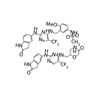 COc1ccc(NS(C)(=O)=O)cc1CNc1nc(Nc2ccc3c(c2)CC(=O)N3)ncc1C(F)(F)F.O=C1COC(CNc2nc(Nc3ccc4c(c3)CC(=O)N4)ncc2C(F)(F)F)CN1